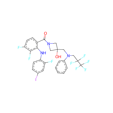 O=C(c1ccc(F)c(F)c1Nc1ccc(I)cc1F)N1CC(O)(CN(CC(F)(F)C(F)(F)F)c2ccccc2)C1